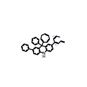 C=C/C=C(\C=C/C)c1ccc2c(c1)C(C1=CCC=CC=C1)(c1ccccc1)c1cc(-c3ccccc3)ccc1N2